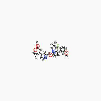 CCOC(=O)CC(c1ccnc(COc2ccc(-c3cc(OC)ccc3F)c(CC(C)(C)C)n2)c1)C1CC1